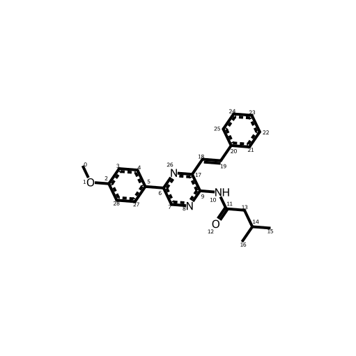 COc1ccc(-c2cnc(NC(=O)CC(C)C)c(/C=C/c3ccccc3)n2)cc1